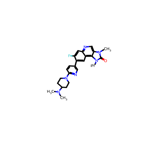 CC(C)n1c(=O)n(C)c2cnc3cc(F)c(-c4ccc(N5CCC(N(C)C)CC5)nc4)cc3c21